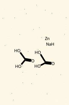 O=C(O)O.O=C(O)O.[NaH].[Zn]